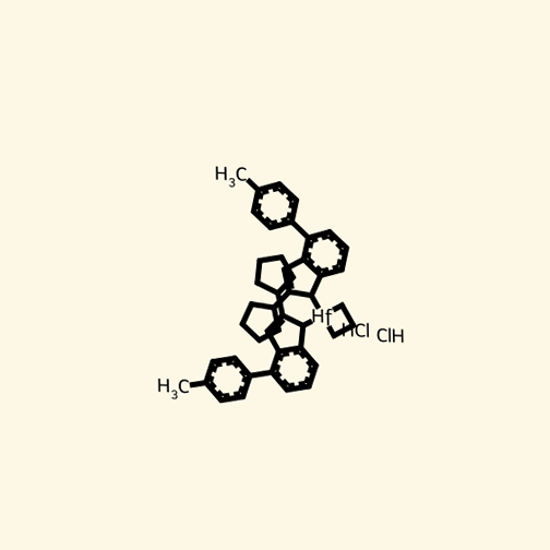 Cc1ccc(-c2cccc3c2C=C(C2CCCC2)[CH]3[Hf]2([CH]3C(C4CCCC4)=Cc4c(-c5ccc(C)cc5)cccc43)[CH2]C[CH2]2)cc1.Cl.Cl